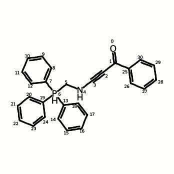 O=C(C#CNC[PH](c1ccccc1)(c1ccccc1)c1ccccc1)c1ccccc1